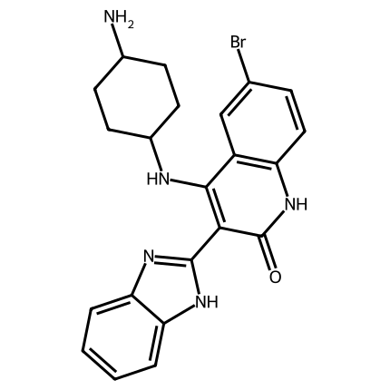 NC1CCC(Nc2c(-c3nc4ccccc4[nH]3)c(=O)[nH]c3ccc(Br)cc23)CC1